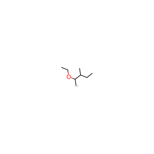 [CH2]C(OCC)C(C)CC